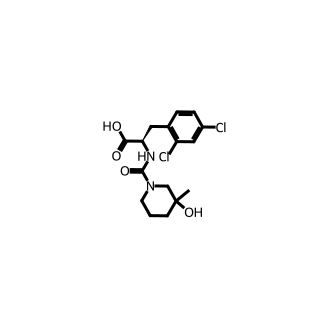 CC1(O)CCCN(C(=O)N[C@H](Cc2ccc(Cl)cc2Cl)C(=O)O)C1